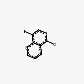 Clc1ncc(I)c2ncccc12